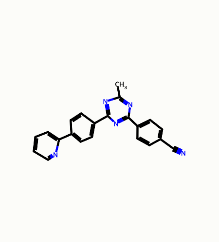 Cc1nc(-c2ccc(C#N)cc2)nc(-c2ccc(-c3ccccn3)cc2)n1